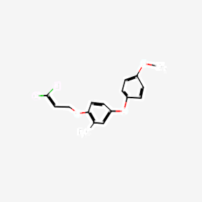 FC(F)(F)Oc1ccc(Oc2ccc(OCC=C(Cl)Cl)c(C(F)(F)F)c2)cc1